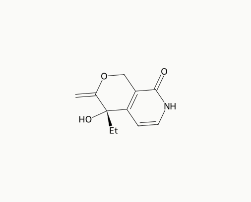 C=C1OCc2c(cc[nH]c2=O)[C@@]1(O)CC